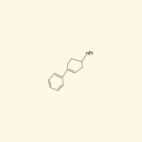 CCCC1CC=C(c2ccccc2)CC1